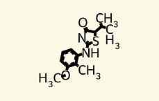 COc1cccc(NC2=NC(=O)C(C(C)C)S2)c1C